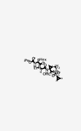 C=C[C@@H]1C[C@]1(NC(=O)[C@H](I)N(CC)C(=O)[C@H](CCCCCC)NC(=O)OC(C)C)C(C=O)NS(=O)(=O)C1CC1